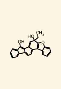 CCC1(O)C=c2c(ccc3c2=C(O)c2ccccc2-3)-c2c1oc1ccccc21